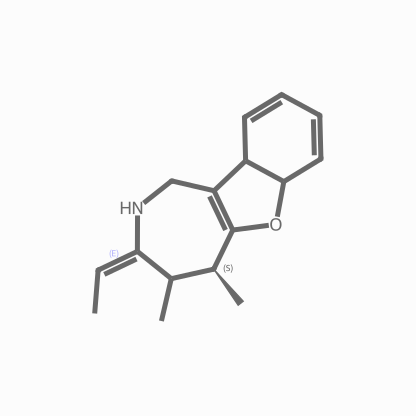 C/C=C1/NCC2=C(OC3C=CC=CC23)[C@@H](C)C1C